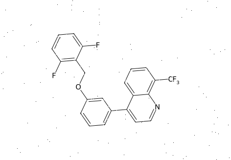 Fc1cccc(F)c1COc1cccc(-c2ccnc3c(C(F)(F)F)cccc23)c1